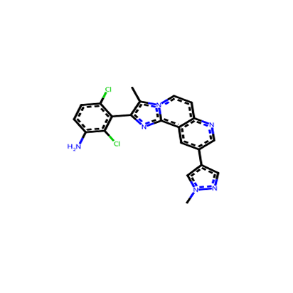 Cc1c(-c2c(Cl)ccc(N)c2Cl)nc2c3cc(-c4cnn(C)c4)cnc3ccn12